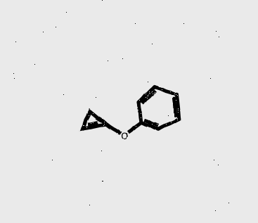 C1=C(Oc2ccccc2)C1